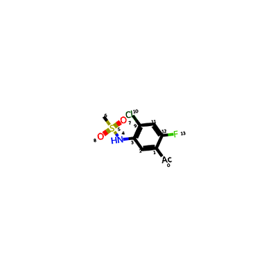 CC(=O)c1cc(NS(C)(=O)=O)c(Cl)cc1F